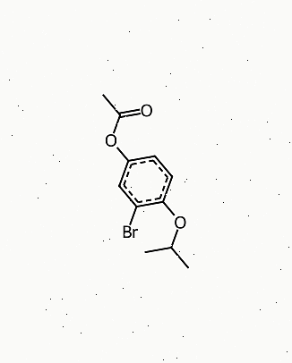 CC(=O)Oc1ccc(OC(C)C)c(Br)c1